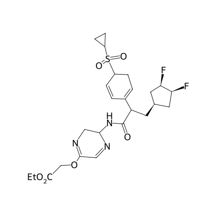 CCOC(=O)COC1=NCC(NC(=O)C(C[C@H]2C[C@@H](F)[C@@H](F)C2)C2=CCC(S(=O)(=O)C3CC3)C=C2)N=C1